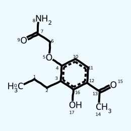 CCCc1c(OCC(N)=O)ccc(C(C)=O)c1O